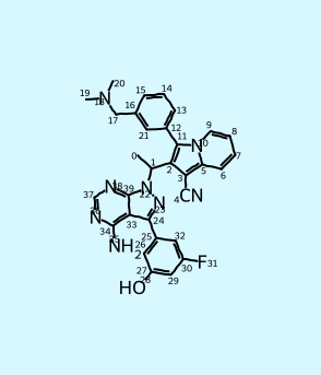 CC(c1c(C#N)c2ccccn2c1-c1cccc(CN(C)C)c1)n1nc(-c2cc(O)cc(F)c2)c2c(N)ncnc21